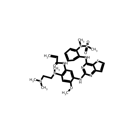 C=CC(=O)Nc1cc(Nc2nc(Nc3ccccc3N(C)S(C)(=O)=O)c3sccc3n2)c(OC)cc1N(C)CCN(C)C